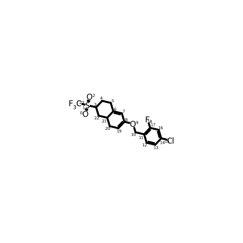 O=S(=O)(C1CCC2=CC(OCc3ccc(Cl)cc3F)=CCC2C1)C(F)(F)F